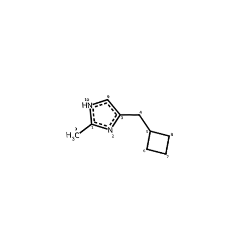 Cc1nc(CC2CCC2)c[nH]1